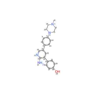 CN1CCN(c2ccc(-c3cnc(N)c(-c4ccc(O)cc4)c3)cc2)CC1